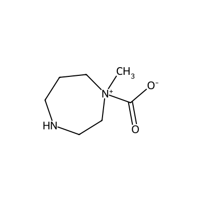 C[N+]1(C(=O)[O-])CCCNCC1